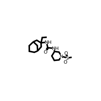 CCC1(NC(=O)NC2CCCN(S(C)(=O)=O)C2)CC2CCCC(C2)C1